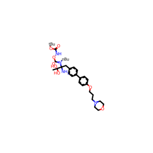 CCCCN(C(=O)ONC(=O)OC(C)(C)C)C(N)(Cc1ccc(-c2ccc(OCCCN3CCOCC3)cc2)cc1)C(C)(O)O